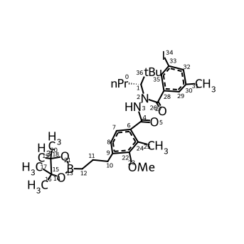 CCC[C@@H](N(NC(=O)c1ccc(CCCB2OC(C)(C)C(C)(C)O2)c(OC)c1C)C(=O)c1cc(C)cc(I)c1)C(C)(C)C